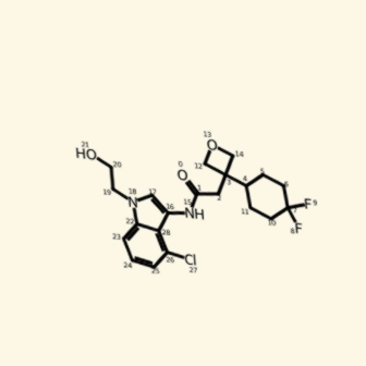 O=C(CC1(C2CCC(F)(F)CC2)COC1)Nc1cn(CCO)c2cccc(Cl)c12